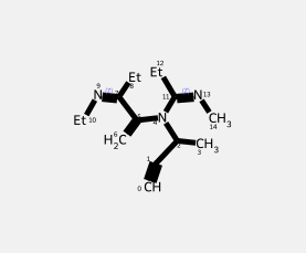 C#CC(C)N(C(=C)/C(CC)=N\CC)/C(CC)=N\C